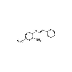 COc1ccc(OC=Cc2ccccc2)c(N)c1